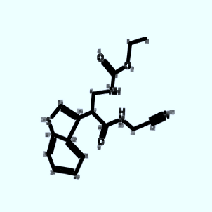 CCOC(=O)NCC(C(=O)NCC#N)c1csc2ccccc12